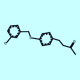 CC(=O)CCc1ccc(OCc2cccc(Cl)c2)cc1